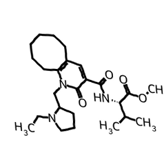 CCN1CCCC1Cn1c2c(cc(C(=O)N[C@H](C(=O)OC)C(C)C)c1=O)CCCCCC2